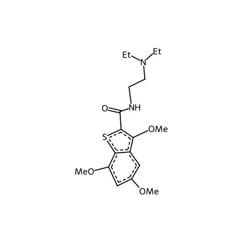 CCN(CC)CCNC(=O)c1sc2c(OC)cc(OC)cc2c1OC